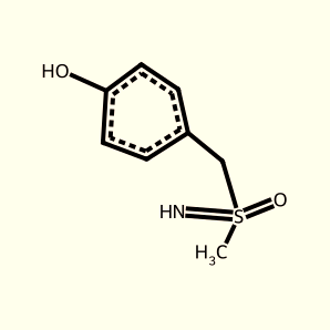 CS(=N)(=O)Cc1ccc(O)cc1